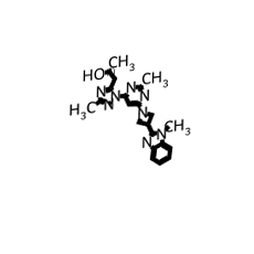 Cc1nc(N2CC(c3nc4ccccc4n3C)C2)cc(-n2nc(C)nc2C[C@H](C)O)n1